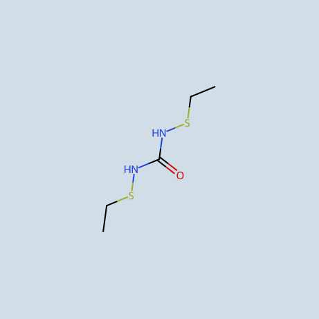 CCSNC(=O)NSCC